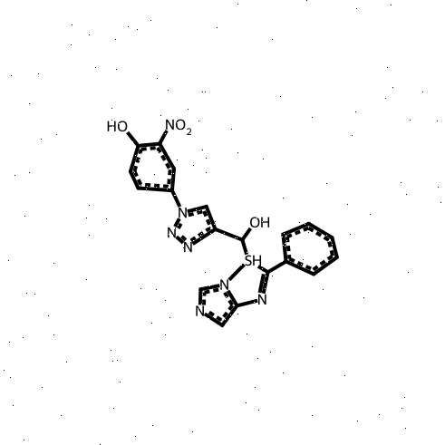 O=[N+]([O-])c1cc(-n2cc(C(O)[SH]3C(c4ccccc4)=Nc4cncn43)nn2)ccc1O